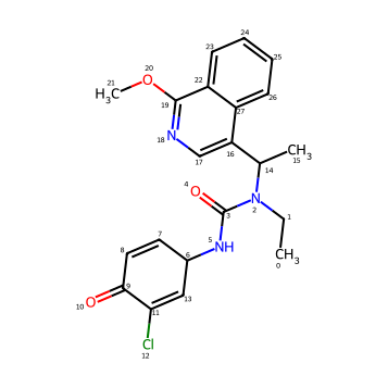 CCN(C(=O)NC1C=CC(=O)C(Cl)=C1)C(C)c1cnc(OC)c2ccccc12